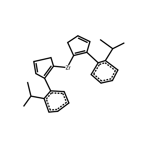 CC(C)c1ccccc1C1=[C]([Zr][C]2=C(c3ccccc3C(C)C)C=CC2)CC=C1